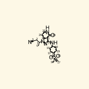 CC(CC#N)n1nc(Nc2ccc(S(=O)(=O)N(C)C)cc2)c2c(=O)[nH]ccc21